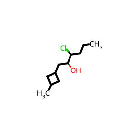 CCCC(Cl)[C@@H](O)CC1CC(C)C1